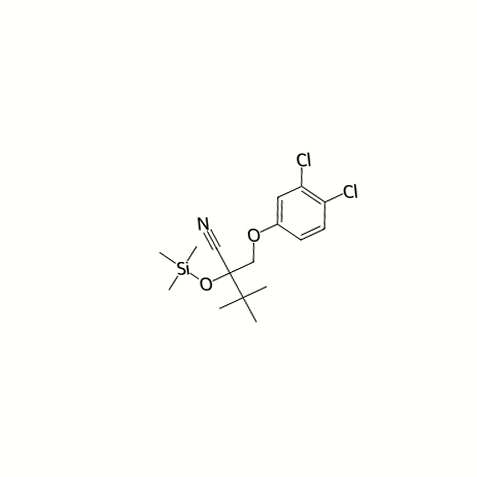 CC(C)(C)C(C#N)(COc1ccc(Cl)c(Cl)c1)O[Si](C)(C)C